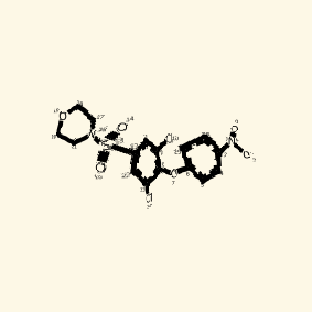 O=[N+]([O-])c1ccc(Oc2c(Cl)cc(S(=O)(=O)N3CCOCC3)cc2Cl)cc1